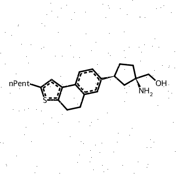 CCCCCc1cc2c(s1)CCc1cc([C@H]3CC[C@](N)(CO)C3)ccc1-2